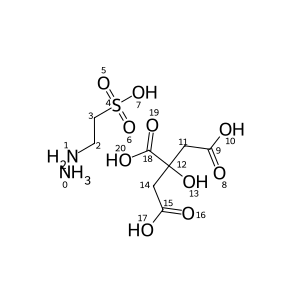 N.NCCS(=O)(=O)O.O=C(O)CC(O)(CC(=O)O)C(=O)O